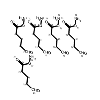 NOC(=O)CCCC=O.NOC(=O)CCCC=O.NOC(=O)CCCC=O.NOC(=O)CCCC=O.NOC(=O)CCCC=O